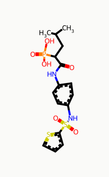 CC(C)CC(C(=O)Nc1ccc(NS(=O)(=O)c2cccs2)cc1)P(=O)(O)O